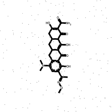 CO/N=C(\C)c1cc(N(C)C)c2c(c1O)C(=O)C1=C(O)C3C(=O)C(C(N)=O)=C(O)CC3CC1C2